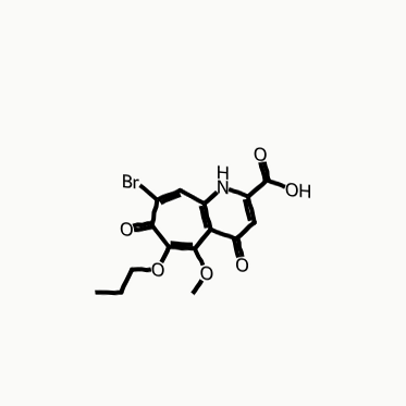 CCCOc1c(OC)c2c(=O)cc(C(=O)O)[nH]c2cc(Br)c1=O